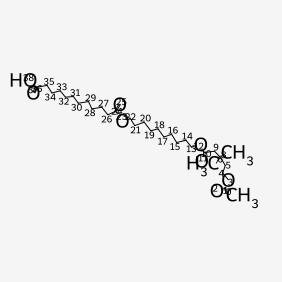 CC(=O)OCCC(C)(C)CC(=O)OCCCCCCCCCCOC(=O)CCCCCCCCCCC(=O)O